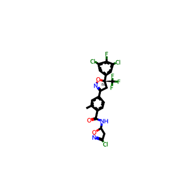 Cc1cc(C2=NO[C@@](c3cc(Cl)c(F)c(Cl)c3)(C(F)(F)F)C2)ccc1C(=O)NC1CC(Cl)=NO1